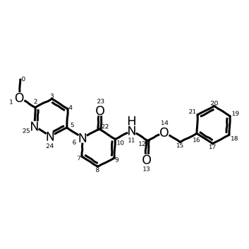 COc1ccc(-n2cccc(NC(=O)OCc3ccccc3)c2=O)nn1